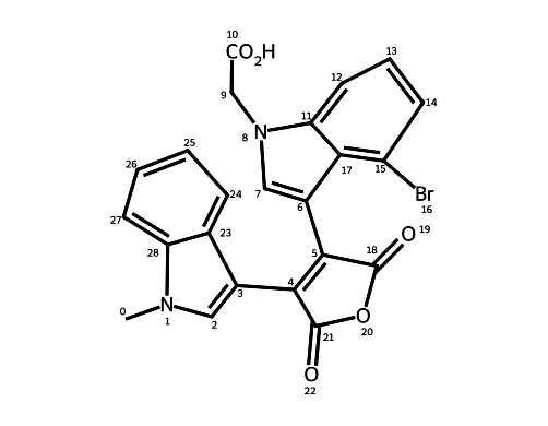 Cn1cc(C2=C(c3cn(CC(=O)O)c4cccc(Br)c34)C(=O)OC2=O)c2ccccc21